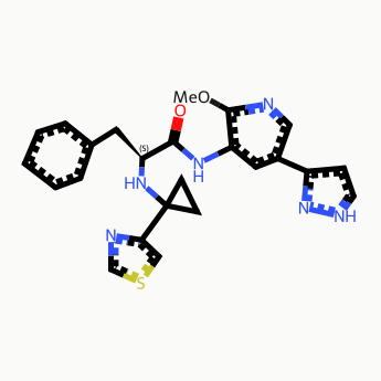 COc1ncc(-c2cc[nH]n2)cc1NC(=O)[C@H](Cc1ccccc1)NC1(c2cscn2)CC1